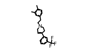 Cc1ccc(CCN2CC=C(c3cccc(C(F)(F)F)c3)CC2)cc1C